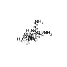 CC(C)(CO)CC(C)(C)CNC(=O)C(CCCCN)NC(=O)C(N)CCCCN